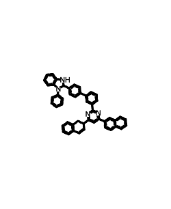 C1=CC(c2cc(-c3ccc4ccccc4c3)nc(-c3cccc(-c4ccc(C5Nc6ccccc6N5c5ccccc5)cc4)c3)n2)Cc2ccccc21